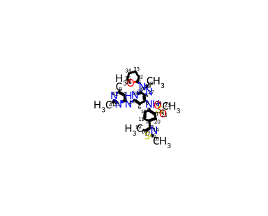 Cc1cc(Nc2cc(Nc3ccc(-c4nc(C)sc4C)cc3S(C)(=O)=O)c3nc(C)n(C4CCCCO4)c3n2)nc(C)n1